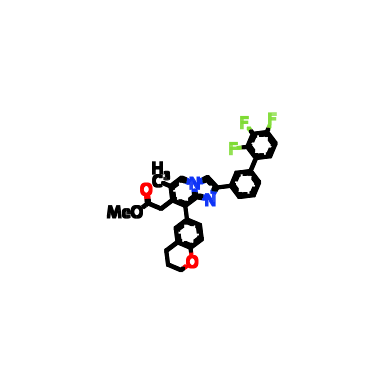 COC(=O)Cc1c(C)cn2cc(-c3cccc(-c4ccc(F)c(F)c4F)c3)nc2c1-c1ccc2c(c1)CCCO2